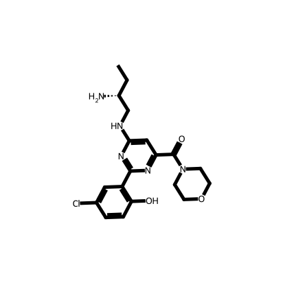 CC[C@@H](N)CNc1cc(C(=O)N2CCOCC2)nc(-c2cc(Cl)ccc2O)n1